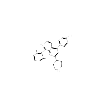 [O-][n+]1ccc2c(-c3ccc(C(F)(F)F)cc3)cc(C3CCNCC3)nc2c1-c1c(F)cccc1F